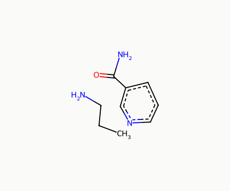 CCCN.NC(=O)c1cccnc1